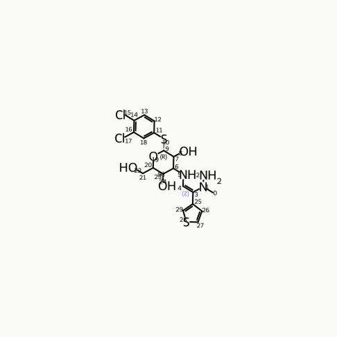 CN(N)/C(=C\NC1C(O)[C@@H](Sc2ccc(Cl)c(Cl)c2)OC(CO)[C@@H]1O)c1ccsc1